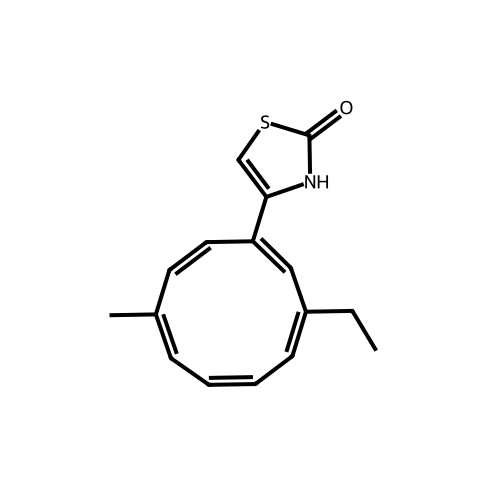 CCc1ccccc(C)ccc(-c2csc(=O)[nH]2)c1